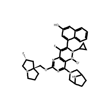 [O-][S+]1c2c(nc(OC[C@@]34CCCN3C[C@H](F)C4)nc2N2CC3CCC(C2)N3)C(F)=C(c2cc(O)cc3ccccc23)N1C1CC1